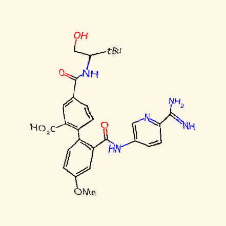 COc1ccc(-c2ccc(C(=O)NC(CO)C(C)(C)C)cc2C(=O)O)c(C(=O)Nc2ccc(C(=N)N)nc2)c1